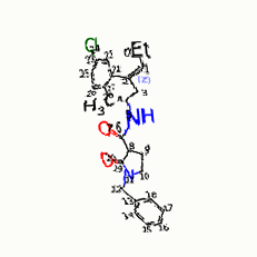 CC/C=C(/CCNC(=O)C1CCN(Cc2ccccc2)C1=O)c1cc(Cl)ccc1C